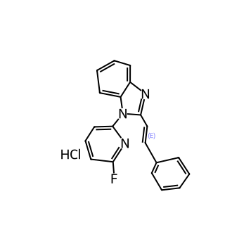 Cl.Fc1cccc(-n2c(/C=C/c3ccccc3)nc3ccccc32)n1